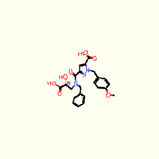 COc1ccc(Cn2nc(C(=O)N(Cc3ccccc3)C[C@@H](O)C(=O)O)cc2C(=O)O)cc1